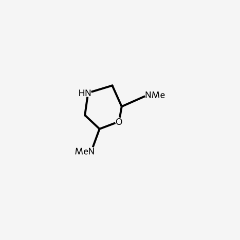 CNC1CNCC(NC)O1